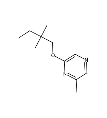 CCC(C)(C)COc1cncc(C)n1